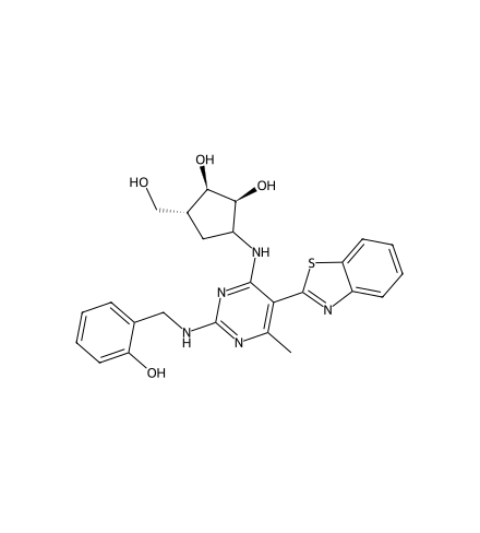 Cc1nc(NCc2ccccc2O)nc(NC2C[C@H](CO)[C@@H](O)[C@H]2O)c1-c1nc2ccccc2s1